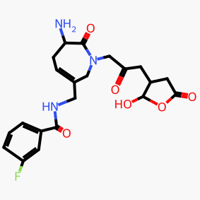 NC1CC=C(CNC(=O)c2cccc(F)c2)CN(CC(=O)CC2CC(=O)OC2O)C1=O